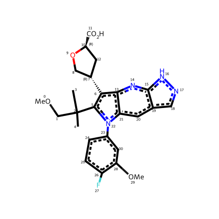 COCC(C)(C)c1c([C@@H]2CO[C@@H](C(=O)O)C2)c2nc3[nH]ncc3cc2n1-c1ccc(F)c(OC)c1